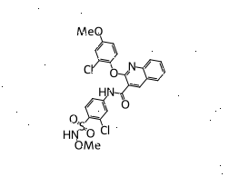 CONS(=O)(=O)c1ccc(NC(=O)c2cc3ccccc3nc2Oc2ccc(OC)cc2Cl)cc1Cl